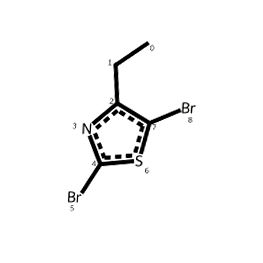 CCc1nc(Br)sc1Br